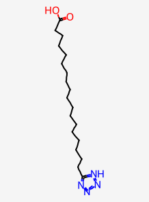 O=C(O)CCCCCCCCCCCCCCCCCc1nnn[nH]1